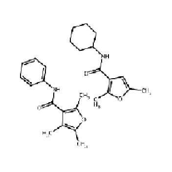 Cc1cc(C(=O)NC2CCCCC2)c(C)o1.Cc1oc(C)c(C(=O)Nc2ccccc2)c1C